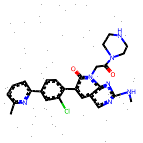 CNc1ncc2cc(-c3ccc(-c4cccc(C)n4)cc3Cl)c(=O)n(CC(=O)N3CCNCC3)c2n1